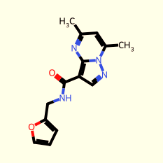 Cc1cc(C)n2ncc(C(=O)NCc3ccco3)c2n1